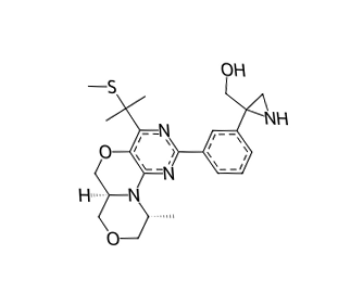 CSC(C)(C)c1nc(-c2cccc(C3(CO)CN3)c2)nc2c1OC[C@@H]1COC[C@@H](C)N21